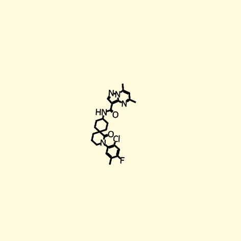 Cc1cc(C)n2ncc(C(=O)NC3CCC4(CCCN(c5cc(C)c(F)cc5Cl)C4=O)CC3)c2n1